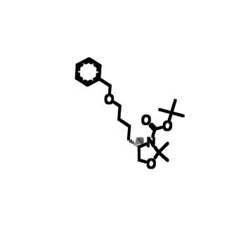 CC(C)(C)OC(=O)N1[C@@H](CCCCOCc2ccccc2)COC1(C)C